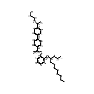 CCCCCCCCC(CCC)Oc1ccccc1OC(=O)c1ccc(-c2ccc(C(C)OCCC)cc2)cc1